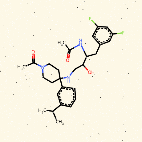 CC(=O)NC(Cc1cc(F)cc(F)c1)C(O)CNC1(c2cccc(C(C)C)c2)CCN(C(C)=O)CC1